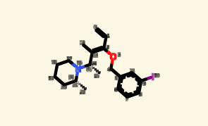 C=CC(OCc1cccc(I)c1)=C(C)[C@H](C)N1CCCC[C@H]1C